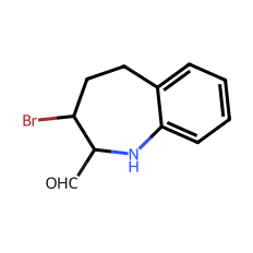 O=CC1Nc2ccccc2CCC1Br